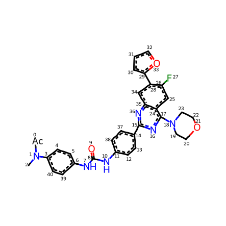 CC(=O)N(C)c1ccc(NC(=O)Nc2ccc(-c3nc(N4CCOCC4)c4cc(F)c(-c5ccco5)cc4n3)cc2)cc1